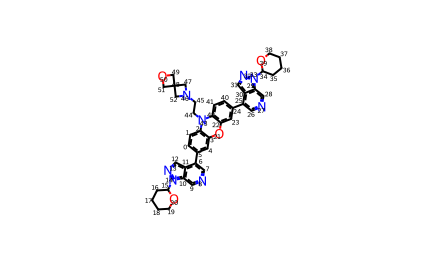 c1cc2c(cc1-c1cncc3c1cnn3C1CCCCO1)Oc1cc(-c3cncc4c3cnn4C3CCCCO3)ccc1N2CCN1CC2(COC2)C1